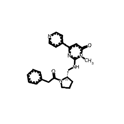 Cn1c(NC[C@@H]2CCCN2C(=O)Cc2ccccc2)nc(-c2ccncc2)cc1=O